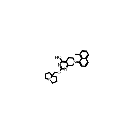 Cc1cccc2cccc(N3CCc4c(O)nc(OCC56CCCN5CCC6)nc4C3)c12